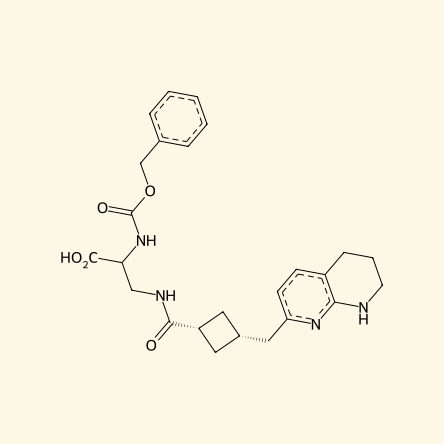 O=C(NC(CNC(=O)[C@H]1C[C@@H](Cc2ccc3c(n2)NCCC3)C1)C(=O)O)OCc1ccccc1